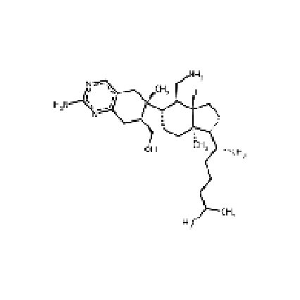 CC(C)CCC[C@@H](C)[C@H]1CC[C@H]2[C@H](CN)[C@@H]([C@@]3(C)Cc4cnc(N)nc4C[C@@H]3CO)CC[C@]12C